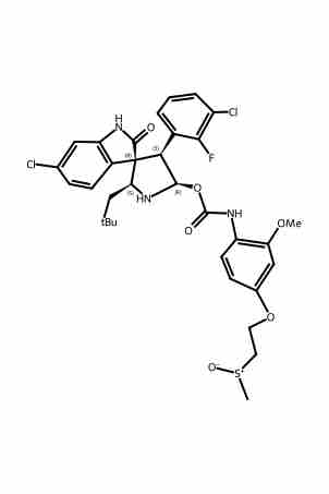 COc1cc(OCC[S+](C)[O-])ccc1NC(=O)O[C@H]1N[C@@H](CC(C)(C)C)[C@@]2(C(=O)Nc3cc(Cl)ccc32)[C@H]1c1cccc(Cl)c1F